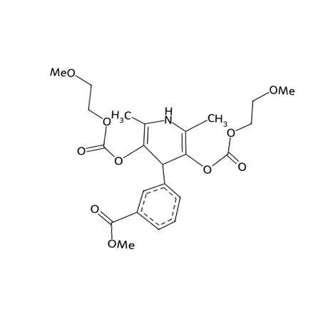 COCCOC(=O)OC1=C(C)NC(C)=C(OC(=O)OCCOC)C1c1cccc(C(=O)OC)c1